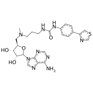 CN(CCCNC(=O)Nc1ccc(-c2cscn2)cc1)C[C@H]1OC(n2cnc3c(N)ncnc32)[C@H](O)[C@@H]1O